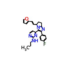 CCCNc1nccc(-c2c(-c3ccc(F)cc3)nc3n2C(/C=C/c2ccco2)CC3)n1